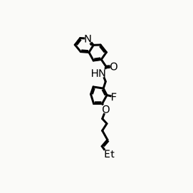 CC/C=C/CCCOc1cccc(CNC(=O)c2ccc3ncccc3c2)c1F